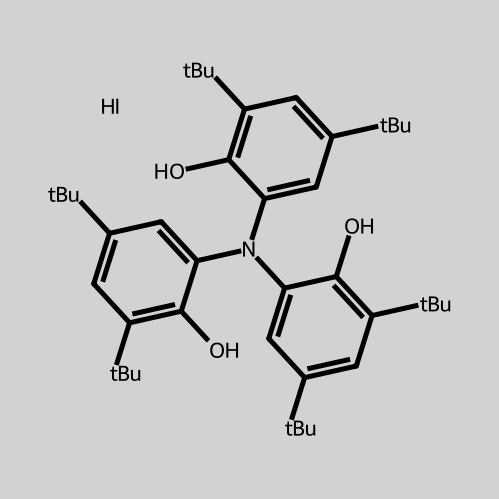 CC(C)(C)c1cc(N(c2cc(C(C)(C)C)cc(C(C)(C)C)c2O)c2cc(C(C)(C)C)cc(C(C)(C)C)c2O)c(O)c(C(C)(C)C)c1.I